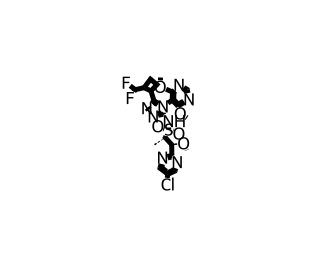 COc1ncnc(OC)c1-n1c(NS(=O)(=O)[C@@H](C)[C@H](OC)c2ncc(Cl)cn2)nnc1C1CCC1C(F)F